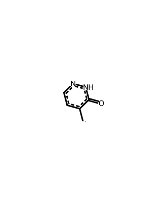 [CH2]c1ccn[nH]c1=O